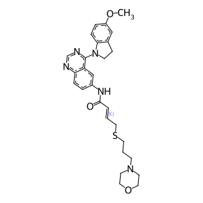 COc1ccc2c(c1)CCN2c1ncnc2ccc(NC(=O)/C=C/CSCCCN3CCOCC3)cc12